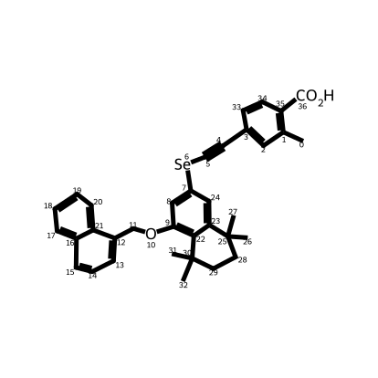 Cc1cc(C#C[Se]c2cc(OCc3cccc4ccccc34)c3c(c2)C(C)(C)CCC3(C)C)ccc1C(=O)O